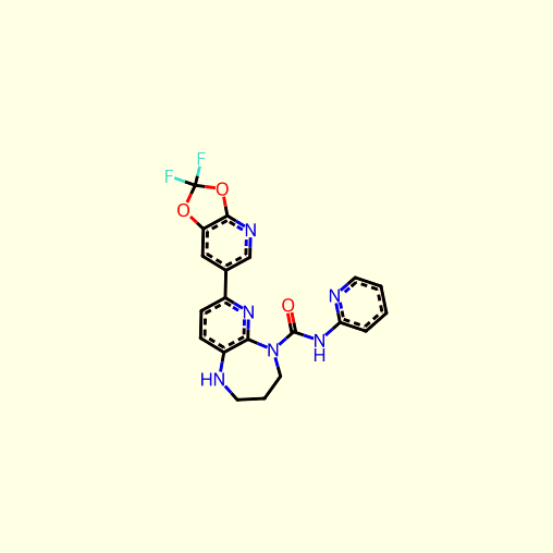 O=C(Nc1ccccn1)N1CCCNc2ccc(-c3cnc4c(c3)OC(F)(F)O4)nc21